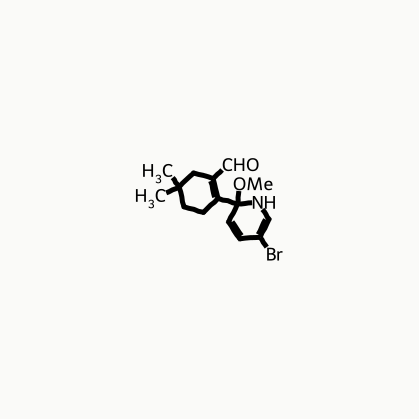 COC1(C2=C(C=O)CC(C)(C)CC2)C=CC(Br)=CN1